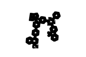 CC1(C)c2ccccc2-c2ccc(-c3nc(-c4ccccc4)nc(-c4ccc([C@]5(c6ccc(-c7ccc(-c8ccc(C#N)c9ccccc89)cc7)cc6)C6CC7CC8CC5C78C6)cc4)n3)cc21